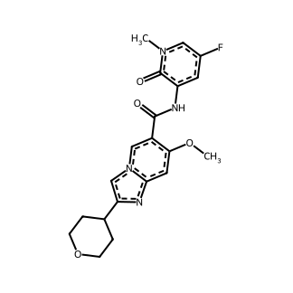 COc1cc2nc(C3CCOCC3)cn2cc1C(=O)Nc1cc(F)cn(C)c1=O